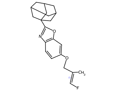 C/C(=C\F)COc1ccc2nc(C34CC5CC(CC(C5)C3)C4)oc2c1